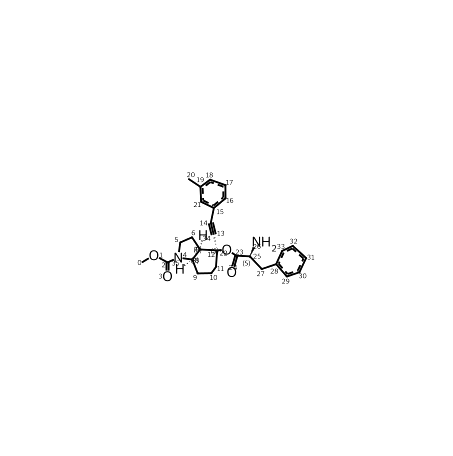 COC(=O)N1CC[C@@H]2[C@H]1CCC[C@]2(C#Cc1cccc(C)c1)OC(=O)[C@@H](N)Cc1ccccc1